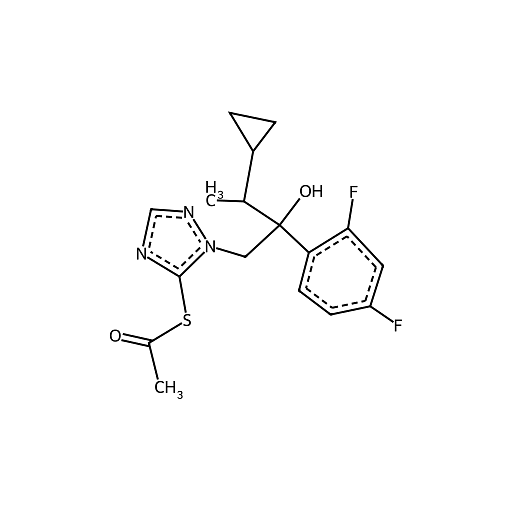 CC(=O)Sc1ncnn1CC(O)(c1ccc(F)cc1F)C(C)C1CC1